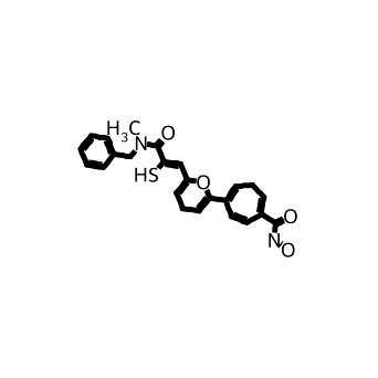 CN(Cc1ccccc1)C(=O)/C(S)=C/C1=CCC=C(C2=CCC=C(C(=O)N=O)C=C2)O1